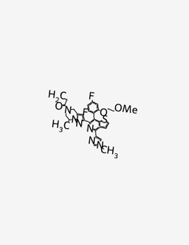 C=CC(=O)N1Cc2cc(-c3nc(-c4cn(C)cn4)c4ccsc4c3-c3c(F)cc(F)cc3OCCOC)nn2[C@@H](C)C1